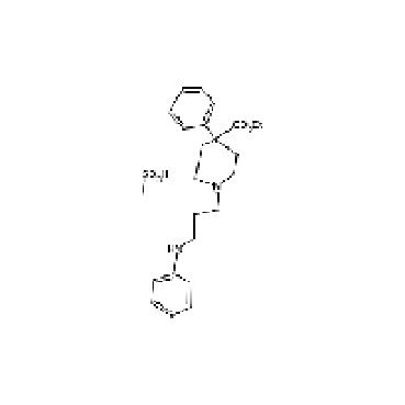 CCOC(=O)C1(c2ccccc2)CCN(CCCNc2ccccc2)CC1.CS(=O)(=O)O